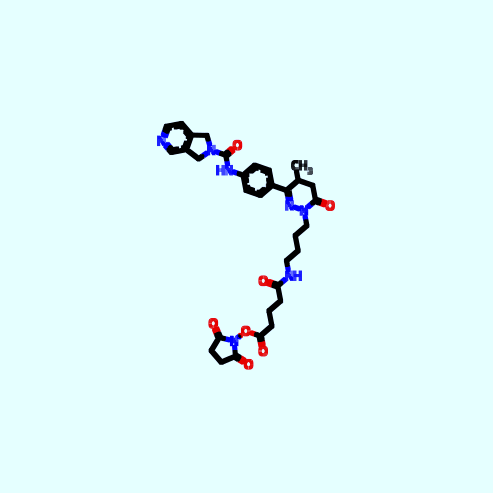 CC1CC(=O)N(CCCCNC(=O)CCCC(=O)ON2C(=O)CCC2=O)N=C1c1ccc(NC(=O)N2Cc3ccncc3C2)cc1